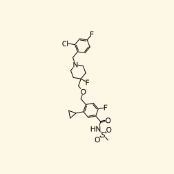 CS(=O)(=O)NC(=O)c1cc(C2CC2)c(COCC2(F)CCN(Cc3ccc(F)cc3Cl)CC2)cc1F